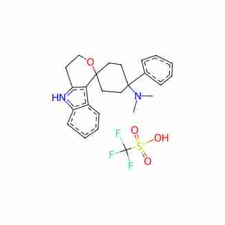 CN(C)C1(c2ccccc2)CCC2(CC1)OCCc1[nH]c3ccccc3c12.O=S(=O)(O)C(F)(F)F